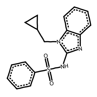 O=S(=O)(Nc1nc2ccccc2n1CC1CC1)c1ccccc1